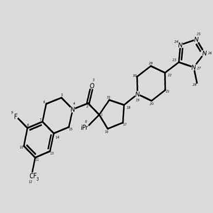 CC(C)C1(C(=O)N2CCc3c(F)cc(C(F)(F)F)cc3C2)CCC(N2CCC(c3nnnn3C)CC2)C1